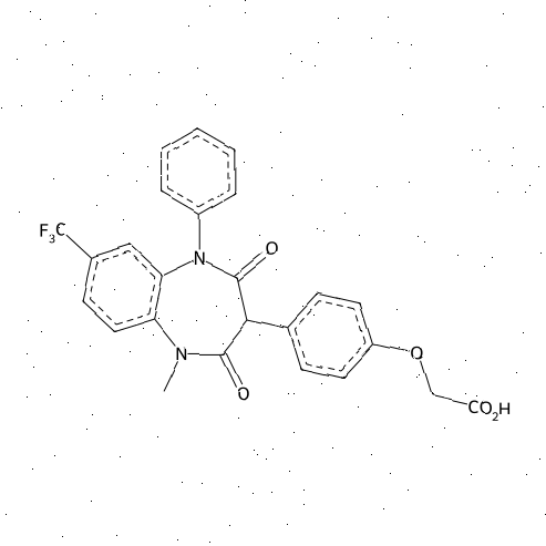 CN1C(=O)C(c2ccc(OCC(=O)O)cc2)C(=O)N(c2ccccc2)c2cc(C(F)(F)F)ccc21